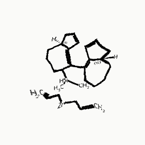 C=C[CH2][Zr][CH2]C=C.C[SiH](C)C1CCC[C@H]2CC=CC2=C1C1=C2C=CC[C@@H]2CCCC1